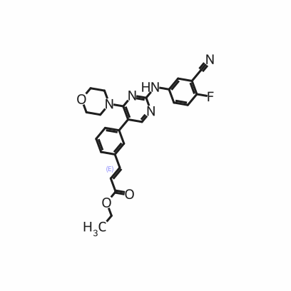 CCOC(=O)/C=C/c1cccc(-c2cnc(Nc3ccc(F)c(C#N)c3)nc2N2CCOCC2)c1